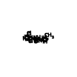 Cc1cccc(NCC(=O)N/N=C/c2c(Cl)cncc2Cl)c1